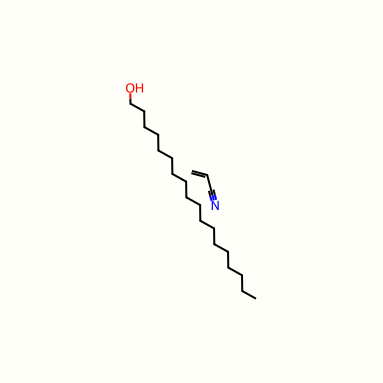 C=CC#N.CCCCCCCCCCCCCCCCCCO